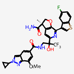 COc1cc(C(=O)NCC(O)(c2cc3c(c(-c4csc5ccc(F)cc45)n2)OC[C@]3(C)C(N)=O)C(F)(F)F)cc2cn(C3CC3)nc12